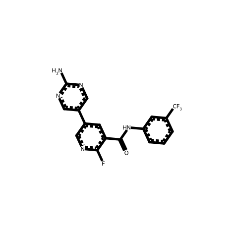 Nc1ncc(-c2cnc(F)c(C(=O)Nc3cccc(C(F)(F)F)c3)c2)cn1